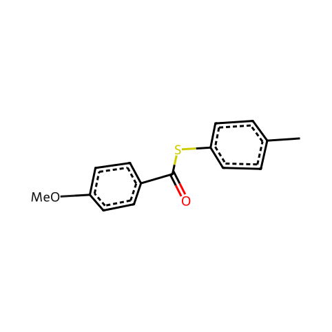 COc1ccc(C(=O)Sc2ccc(C)cc2)cc1